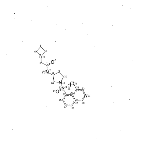 O=C(CN1CCC1)NC1CCN(S(=O)(=O)c2cccc3cncc(Cl)c23)C1